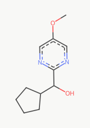 COc1cnc(C(O)C2CCCC2)nc1